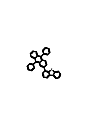 c1ccc(-c2c3ccccc3c(-c3ccccc3)c3cc(-c4cccc5c4sc4ccccc45)ccc23)cc1